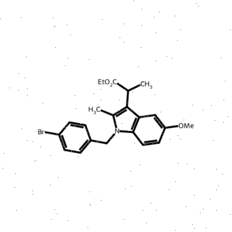 CCOC(=O)C(C)c1c(C)n(Cc2ccc(Br)cc2)c2ccc(OC)cc12